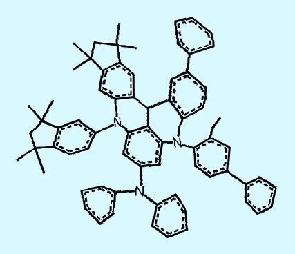 Cc1cc(-c2ccccc2)ccc1N1c2ccc(-c3ccccc3)cc2C2c3cc4c(cc3N(c3ccc5c(c3)C(C)(C)CC5(C)C)c3cc(N(c5ccccc5)c5ccccc5)cc1c32)C(C)(C)CC4(C)C